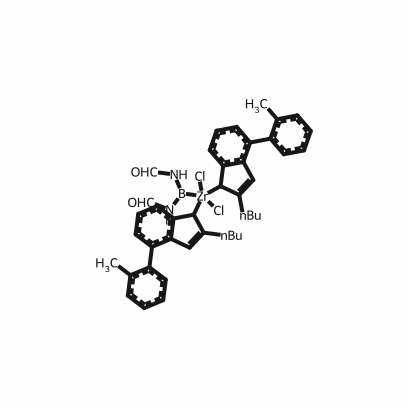 CCCCC1=Cc2c(-c3ccccc3C)cccc2[CH]1[Zr]([Cl])([Cl])([B](NC=O)NC=O)[CH]1C(CCCC)=Cc2c(-c3ccccc3C)cccc21